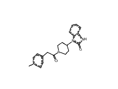 Cc1ccc(CC(=O)N2CCC(n3c(=O)[nH]c4ccccc43)CC2)cc1